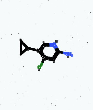 Nc1cc(Cl)c(C2CC2)cn1